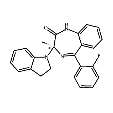 C[C@@]1(N2CCc3ccccc32)N=C(c2ccccc2F)c2ccccc2NC1=O